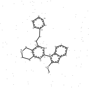 COc1cc2ccccc2n1-c1nc2c(c(CCc3ccccc3)n1)COCC2